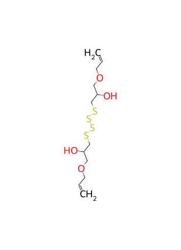 C=CCOCC(O)CSSSSCC(O)COCC=C